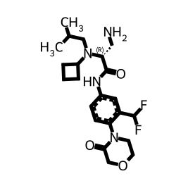 CC(C)CN(C1CCC1)[C@H](CN)C(=O)Nc1ccc(N2CCOCC2=O)c(C(F)F)c1